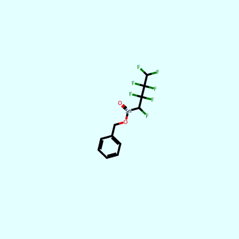 [O]=[Sn]([O]Cc1ccccc1)[CH](F)C(F)(F)C(F)(F)C(F)F